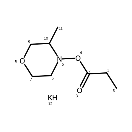 CCC(=O)ON1CCOCC1C.[KH]